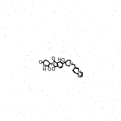 O=C1CCC(N2C(=O)c3ccc(C4(O)CCN(Cc5ccc6nccn6c5)CC4)cc3C2=O)C(=O)N1